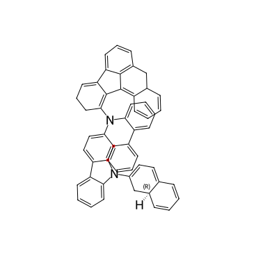 C1=CC2=CC=C(n3c4ccccc4c4ccc(N(C5=C6C(=CCC5)c5cccc7c5C6=C5C=CC=CC5C7)c5ccccc5-c5ccccc5)cc43)C[C@@H]2C=C1